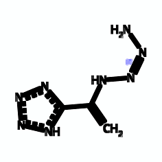 C=C(N/N=N\N)c1nnn[nH]1